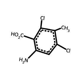 Cc1c(Cl)cc(N)c(C(=O)O)c1Cl